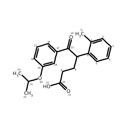 Cc1ccccc1C(CCC(=O)O)C(=O)c1cccc(OC(C)C)c1